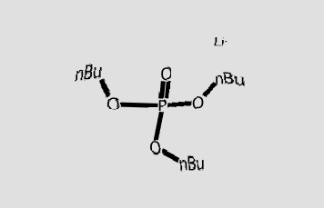 CCCCOP(=O)(OCCCC)OCCCC.[Li]